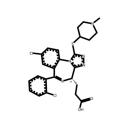 CN1CCC(Sc2nnc3n2-c2ccc(Cl)cc2C(c2ccccc2Cl)=N[C@H]3CCC(=O)O)CC1